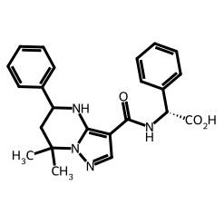 CC1(C)CC(c2ccccc2)Nc2c(C(=O)N[C@@H](C(=O)O)c3ccccc3)cnn21